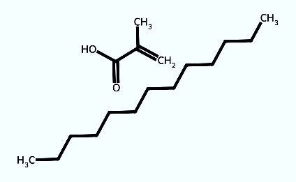 C=C(C)C(=O)O.CCCCCCCCCCCCC